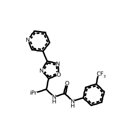 CC(C)C(NC(=O)Nc1cccc(C(F)(F)F)c1)c1nc(-c2cccnc2)no1